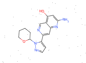 Nc1cc(O)c2cnc(-c3ccnn3C3CCCCO3)cc2n1